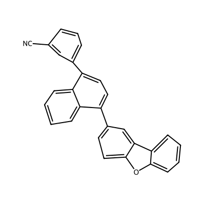 N#Cc1cccc(-c2ccc(-c3ccc4oc5ccccc5c4c3)c3ccccc23)c1